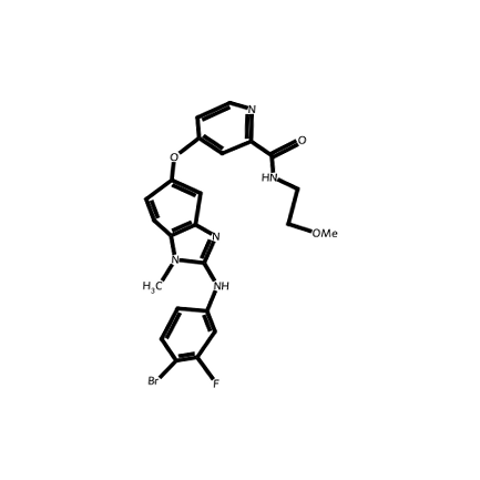 COCCNC(=O)c1cc(Oc2ccc3c(c2)nc(Nc2ccc(Br)c(F)c2)n3C)ccn1